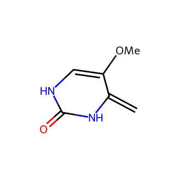 C=C1NC(=O)NC=C1OC